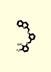 O=Cc1c(OCc2cccc(OCc3ccc4ccccc4n3)c2)cccc1C(F)(F)F